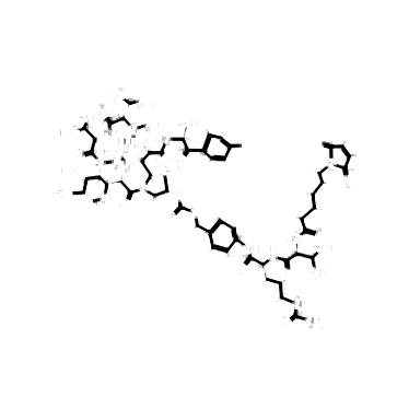 CC[C@H](C)[C@@H]([C@@H](CC(=O)N1C[C@@H](OC(=O)OCc2ccc(NC(=O)[C@H](CCCNC(N)=O)NC(=O)[C@@H](NC(=O)CCCCCN3C(=O)C=CC3=O)C(C)C)cc2)C[C@H]1[C@H](OC)[C@@H](C)C(=O)N[C@@H](C)C(=O)c1ccc(F)cc1)OC)N(C)C(=O)[C@@H](NC(=O)[C@H](C(C)C)N(C)C)C(C)C